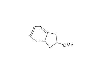 [CH2-][OH+]C1Cc2ccccc2C1